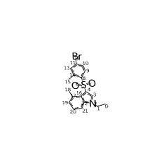 CCn1cc(S(=O)(=O)c2ccc(Br)cc2C)c2c(C)cccc21